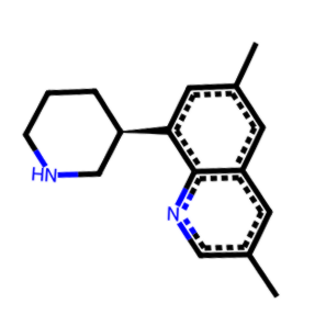 Cc1cnc2c([C@@H]3CCCNC3)cc(C)cc2c1